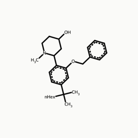 CCCCCCC(C)(C)c1ccc(C2CC(O)CCN2C)c(OCc2ccccc2)c1